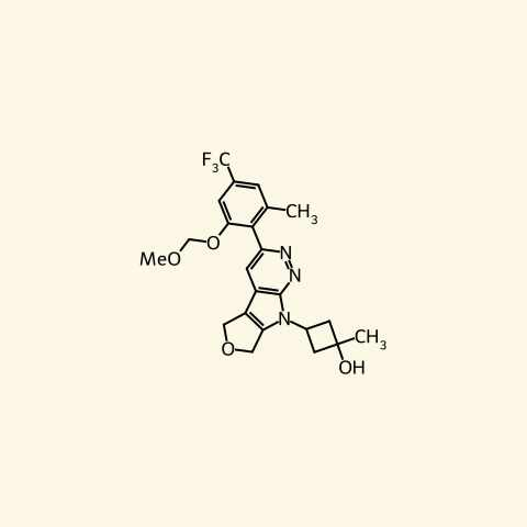 COCOc1cc(C(F)(F)F)cc(C)c1-c1cc2c3c(n(C4CC(C)(O)C4)c2nn1)COC3